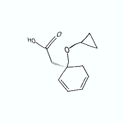 O=C(O)C[C@@]1(OC2CC2)C=CC=CC1